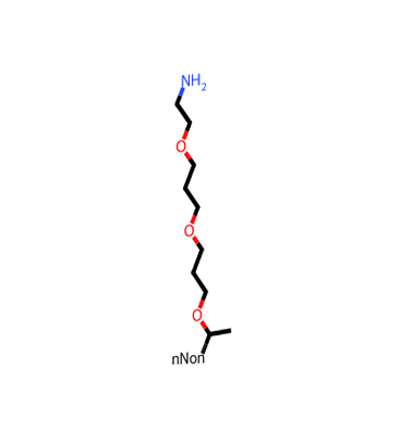 CCCCCCCCCC(C)OCCCOCCCOCCN